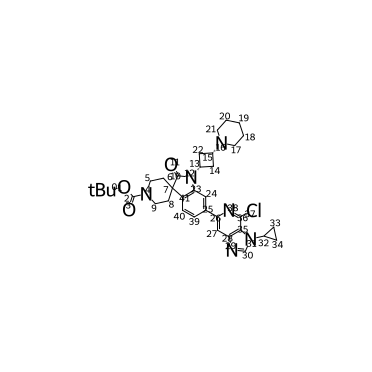 CC(C)(C)OC(=O)N1CCC2(CC1)C(=O)N([C@H]1C[C@@H](N3CCCCC3)C1)c1cc(-c3cc4ncn(C5CC5)c4c(Cl)n3)ccc12